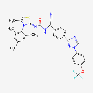 Cc1cc(C)c(-n2c(C)cs/c2=N\C(=O)NC(C#N)c2ccc(-c3ncn(-c4ccc(OC(F)(F)F)cc4)n3)cc2)c(C)c1